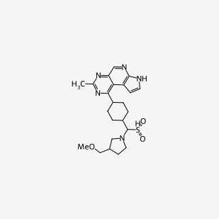 COCC1CCN(C(C2CCC(c3nc(C)nc4cnc5[nH]ccc5c34)CC2)[SH](=O)=O)C1